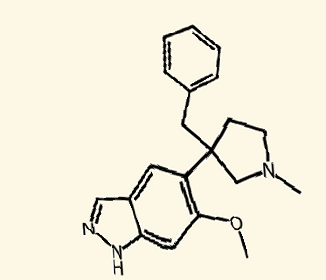 COc1cc2[nH]ncc2cc1C1(Cc2ccccc2)CCN(C)C1